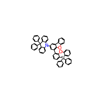 c1ccc(C2(c3ccccc3)c3ccccc3N(c3cc(-c4cccc5c4Oc4ccccc4[Si]5(c4ccccc4)c4ccccc4)c4oc5ccccc5c4c3)c3ccccc32)cc1